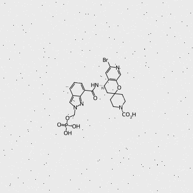 O=C(N[C@H]1CC2(CCN(C(=O)O)CC2)Oc2cnc(Br)cc21)c1cccc2cn(COP(=O)(O)O)nc12